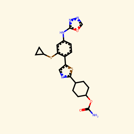 NC(=O)OC1CCC(c2ncc(-c3ccc(Nc4nnco4)cc3SC3CC3)s2)CC1